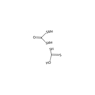 CSC(=O)SC.OC(=S)S